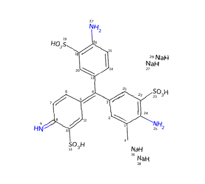 Cc1cc(/C(=C2/C=CC(=N)C(S(=O)(=O)O)=C2)c2ccc(N)c(S(=O)(=O)O)c2)cc(S(=O)(=O)O)c1N.[NaH].[NaH].[NaH].[NaH]